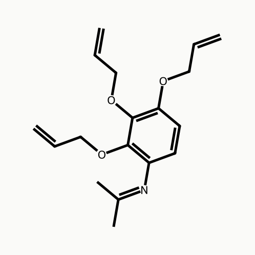 C=CCOc1ccc(N=C(C)C)c(OCC=C)c1OCC=C